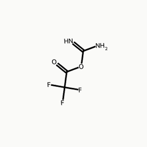 N=C(N)OC(=O)C(F)(F)F